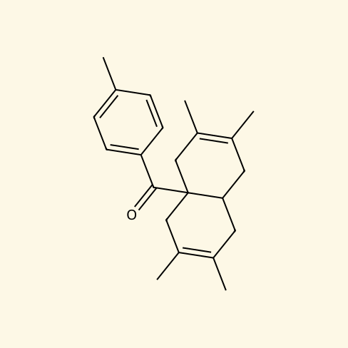 CC1=C(C)CC2(C(=O)c3ccc(C)cc3)CC(C)=C(C)CC2C1